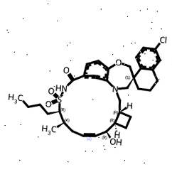 CCCC[C@@H]1[C@H](C)C/C=C\[C@H](O)[C@@H]2CC[C@H]2CN2C[C@@]3(CCCc4cc(Cl)ccc43)COc3ccc(cc32)C(=O)NS1(=O)=O